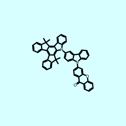 CC1(C)c2ccccc2-c2c3c(c4c(c21)c1ccccc1n4-c1ccc2c(c1)c1ccccc1n2-c1ccc2c(=O)c4ccccc4oc2c1)C(C)(C)c1ccccc1-3